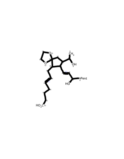 CCCCCC(O)/C=C/C1C(C(C)O)CC2(OCCO2)C1C/C=C/CCCC(=O)O